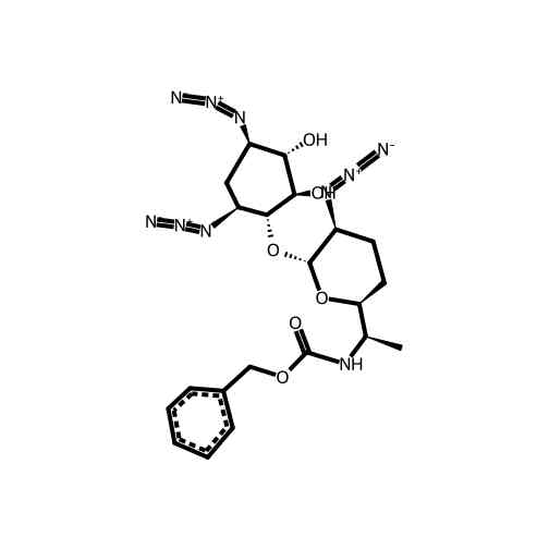 C[C@@H](NC(=O)OCc1ccccc1)[C@@H]1CC[C@H](N=[N+]=[N-])[C@@H](O[C@H]2[C@H](O)[C@@H](O)[C@H](N=[N+]=[N-])C[C@@H]2N=[N+]=[N-])O1